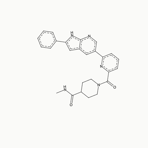 CNC(=O)C1CCN(C(=O)c2cccc(-c3cnc4[nH]c(-c5ccccc5)cc4c3)n2)CC1